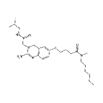 CCCCCCN(C)C(=O)CCCOc1ccc2c(c1)CN(CC(=O)NCC(C)C)C(N)=N2